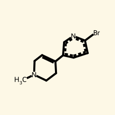 CN1CC=C(c2ccc(Br)nc2)CC1